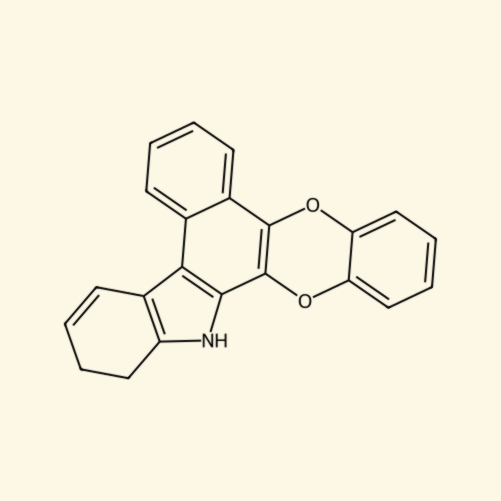 C1=Cc2c([nH]c3c4c(c5ccccc5c23)Oc2ccccc2O4)CC1